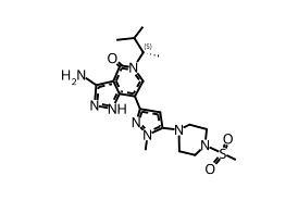 CC(C)[C@H](C)n1cc(-c2cc(N3CCN(S(C)(=O)=O)CC3)n(C)n2)c2[nH]nc(N)c2c1=O